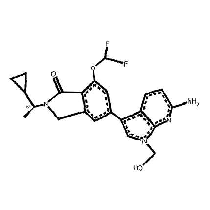 C[C@@H](C1CC1)N1Cc2cc(-c3cn(CO)c4nc(N)ccc34)cc(OC(F)F)c2C1=O